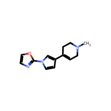 CN1CC=C(c2ccn(-c3ncco3)c2)CC1